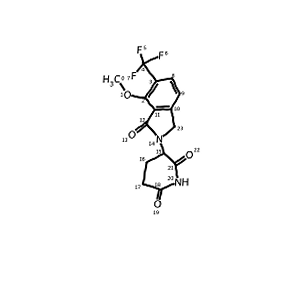 COc1c(C(F)(F)F)ccc2c1C(=O)N(C1CCC(=O)NC1=O)C2